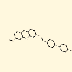 C=Cc1ccc(-c2ccc(C=Nc3ccc4cc5ccc(N=C)cc5nc4c3)cc2)cc1